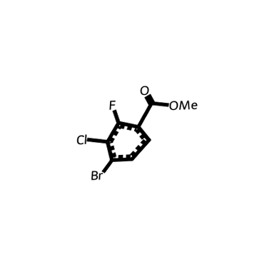 COC(=O)c1ccc(Br)c(Cl)c1F